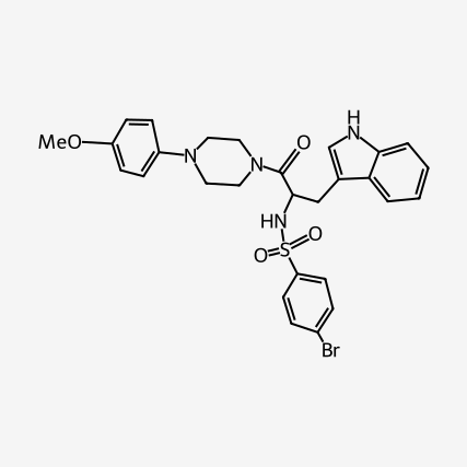 COc1ccc(N2CCN(C(=O)C(Cc3c[nH]c4ccccc34)NS(=O)(=O)c3ccc(Br)cc3)CC2)cc1